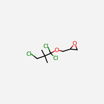 CC(C)(CCl)C(Cl)(Cl)OCC1CO1